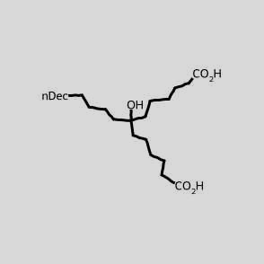 CCCCCCCCCCCCCCC(O)(CCCCCC(=O)O)CCCCCC(=O)O